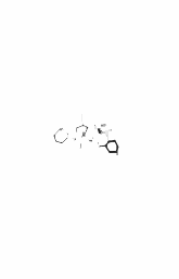 O=C(NCc1cc(Cl)ccc1-n1cncn1)[C@@H]1C[C@@H](F)CN1C(=O)[C@H]1CCCCN1